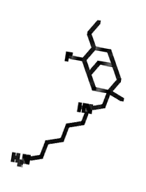 CCC1CC2CC(CC(C)(CNCCCCCN)C2)C1F